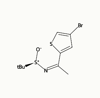 C/C(=N/[S@+]([O-])C(C)(C)C)c1cc(Br)cs1